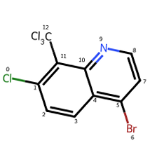 Clc1ccc2c(Br)ccnc2c1C(Cl)(Cl)Cl